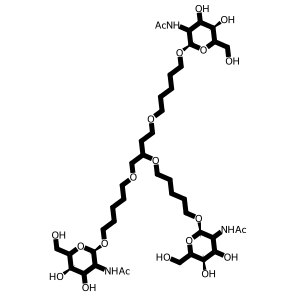 CC(=O)NC1C(O)[C@@H](O)C(CO)O[C@H]1OCCCCCOCCC(COCCCCCO[C@@H]1OC(CO)[C@H](O)C(O)C1NC(C)=O)OCCCCCO[C@@H]1OC(CO)[C@H](O)C(O)C1NC(C)=O